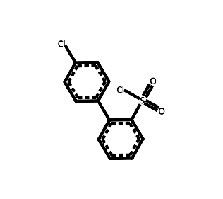 O=S(=O)(Cl)c1ccccc1-c1ccc(Cl)cc1